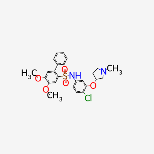 COc1cc(-c2ccccc2)c(S(=O)(=O)Nc2ccc(Cl)c(O[C@@H]3CCN(C)C3)c2)cc1OC